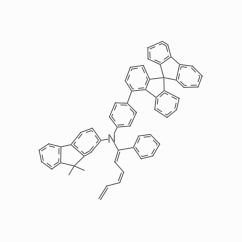 C=C/C=C\C=C(/c1ccccc1)N(c1ccc(-c2cccc3c2-c2ccccc2C32c3ccccc3-c3ccccc32)cc1)c1ccc2c(c1)C(C)(C)c1ccccc1-2